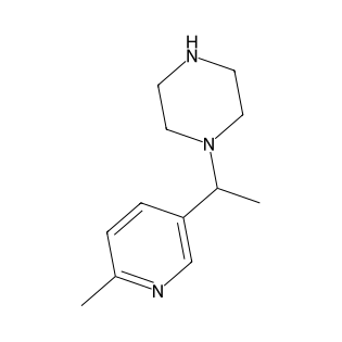 Cc1ccc(C(C)N2CCNCC2)cn1